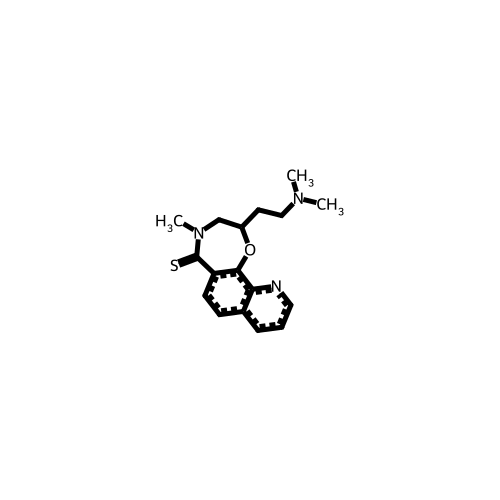 CN(C)CCC1CN(C)C(=S)c2ccc3cccnc3c2O1